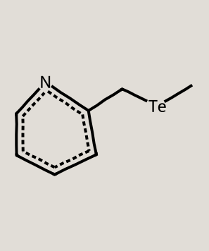 C[Te]Cc1ccccn1